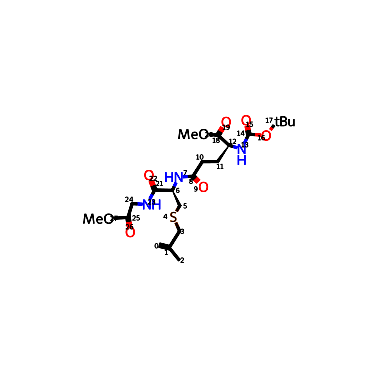 C=C(C)CSC[C@H](NC(=O)CC[C@H](NC(=O)OC(C)(C)C)C(=O)OC)C(=O)NCC(=O)OC